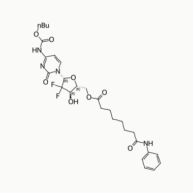 CCCCOC(=O)Nc1ccn([C@@H]2O[C@H](COC(=O)CCCCCCC(=O)Nc3ccccc3)[C@@H](O)C2(F)F)c(=O)n1